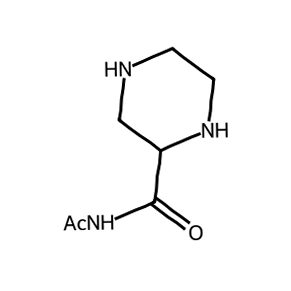 CC(=O)NC(=O)C1CNCCN1